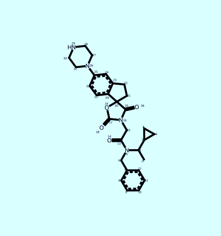 CC(C1CC1)N(Cc1ccccc1)C(=O)CN1C(=O)OC2(CCc3cc(N4CCNCC4)ccc32)C1=O